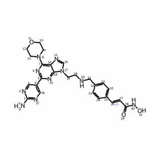 Nc1ncc(-c2nc(N3CCOCC3)c3ncn(CCNCc4ccc(/C=C/C(=O)NO)cc4)c3n2)cn1